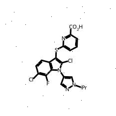 CC(C)n1cc(-n2c(Cl)c(Sc3cccc(C(=O)O)n3)c3ccc(Cl)c(F)c32)cn1